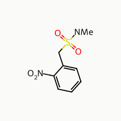 CNS(=O)(=O)Cc1ccccc1[N+](=O)[O-]